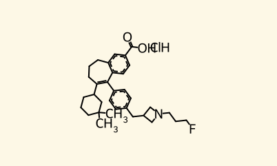 CC1(C)CCCC(C2=C(c3ccc(CC4CN(CCCF)C4)cc3)c3ccc(C(=O)O)cc3CCC2)C1.Cl